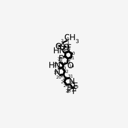 CCCS(=O)(=O)Nc1c(F)ccc(C(=O)c2c[nH]c3ncc(-c4ccc(C(F)(F)F)nc4)cc23)c1F